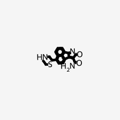 NC(=O)C1=C2C(=NC1=O)c1cccc3c(C4CNCCS4)ccc2c13